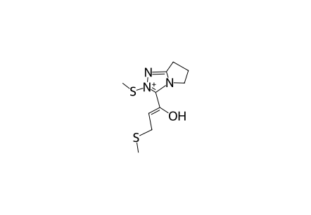 CSC/C=C(\O)c1n2c(n[n+]1SC)CCC2